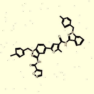 Cc1ccc(Cn2nc(NC(=O)c3ccno3)c3cc(-c4cc(C(=O)Nc5nn(Cc6ccc(C)cc6)c6ccccc56)c(C)o4)ccc32)cc1